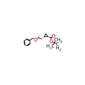 CC(C)(C)OC(=O)[C@@H]1C[C@H]1CCOCc1ccccc1